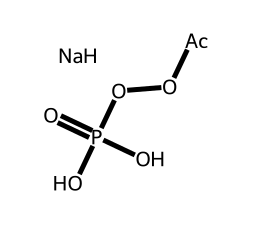 CC(=O)OOP(=O)(O)O.[NaH]